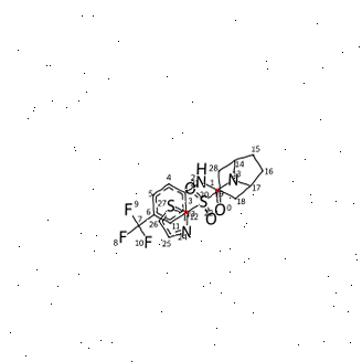 O=C(Nc1ccc(C(F)(F)F)cc1)N1C2CCC1CC(S(=O)(=O)c1nccs1)C2